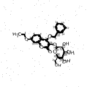 CCOc1ccc2c(OCc3ccccc3)c(O[C@@H]3O[C@H](CO)[C@@H](O)[C@H](O)[C@H]3O)c(=O)oc2c1